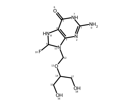 Nc1nc2c(c(=O)[nH]1)NC(F)N2COC(CO)CO